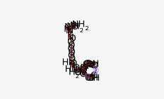 CO[C@H]1C[C@@H]2CC[C@@H](C)[C@@](O)(O2)C(=O)C(=O)N2CCCC[C@H]2C(=O)O[C@H]([C@H](N)C[C@@H]2CC[C@@H](OC(=O)NC3CCN(CC(=O)NCCOCCOCCOCCOCCOCCOCCC(=O)N4CCc5cc(Cn6nc(-c7ccc8oc(N)nc8c7)c7c(N)ncnc76)ccc5C4)CC3)[C@H](OC)C2)C[C@@H](OC)[C@H](C)/C=C(\C)[C@@H](O)[C@@H](O)C(=O)[C@H](C)C[C@H](C)/C=C/C=C/C=C/1C